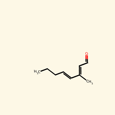 CCCC=CC(C)=C[C]=O